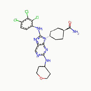 NC(=O)[C@H]1CC[C@H](n2c(Nc3ccc(Cl)c(Cl)c3Cl)nc3cnc(NC4CCOCC4)nc32)CC1